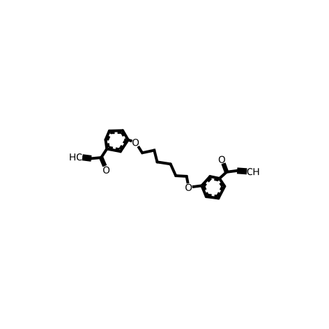 C#CC(=O)c1cccc(OCCCCCCOc2cccc(C(=O)C#C)c2)c1